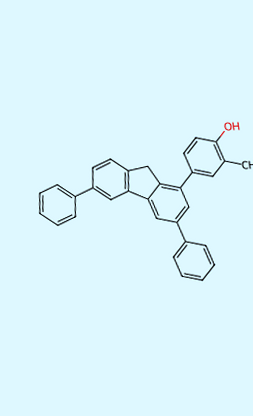 Cc1cc(-c2cc(-c3ccccc3)cc3c2Cc2ccc(-c4ccccc4)cc2-3)ccc1O